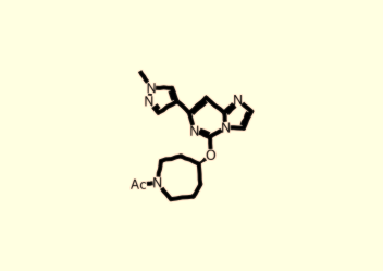 CC(=O)N1CCC[C@H](Oc2nc(-c3cnn(C)c3)cc3nccn23)CC1